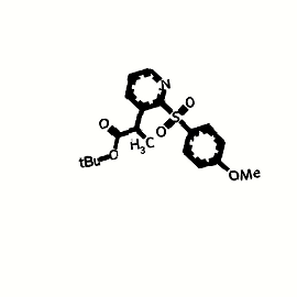 COc1ccc(S(=O)(=O)c2ncccc2C(C)C(=O)OC(C)(C)C)cc1